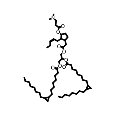 CC/C=C\CC1C(CC(=O)OCC(COC(=O)CCCCCCCC2CC2CCCCCCCC)OC(=O)CCCCCCCC2CC2CCCCCCCC)CCC1OC(=O)CCN(C)C